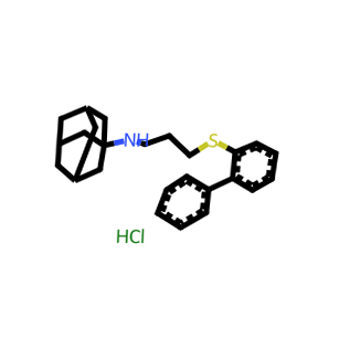 Cl.c1ccc(-c2ccccc2SCCCNC23CC4CC(CC(C4)C2)C3)cc1